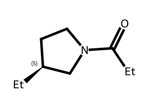 CCC(=O)N1CC[C@H](CC)C1